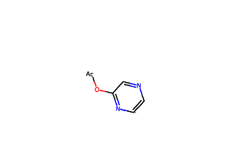 CC(=O)Oc1cnc[c]n1